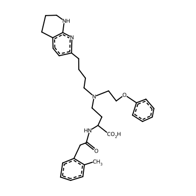 Cc1ccccc1CC(=O)NC(CCN(CCCCc1ccc2c(n1)NCCC2)CCOc1ccccc1)C(=O)O